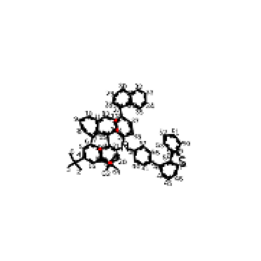 CC(C)(C)c1cc(-c2cccc3cccc(-c4ccccc4N(c4ccc(-c5cccc6ccccc56)cc4)c4ccc(-c5cccc6sc7ccccc7c56)cc4)c23)cc(C(C)(C)C)c1